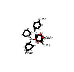 COc1ccc(P(c2ccc(OC)cc2)[C@H]2CCCC[C@@H]2P(c2ccc(OC)cc2)c2ccc(OC)cc2)cc1